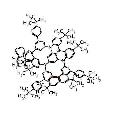 CC(C)(C)c1ccc(-c2cc(-c3ccc(C(C)(C)C)cc3)cc(N(c3cc4c5c(c3)N(c3cc(-c6ccc(C(C)(C)C)cc6)cc(-c6ccc(C(C)(C)C)cc6)c3)c3ccc(C(C)(C)C)cc3B5c3cc(C(C)(C)C)ccc3N4c3cc(-c4ccc(C(C)(C)C)cc4)cc(-c4ccc(C(C)(C)C)cc4)c3)c3ccc4c(c3)C(C)(C)c3ccc5ccccc5c3-4)c2)cc1